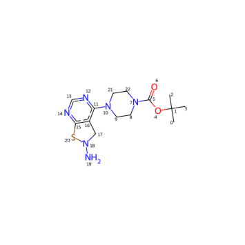 CC(C)(C)OC(=O)N1CCN(c2ncnc3c2CN(N)S3)CC1